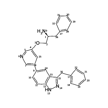 N[C@H](COc1cncc(-c2ccc3[nH]nc(Cc4ccccc4)c3c2)c1)Cc1ccccc1